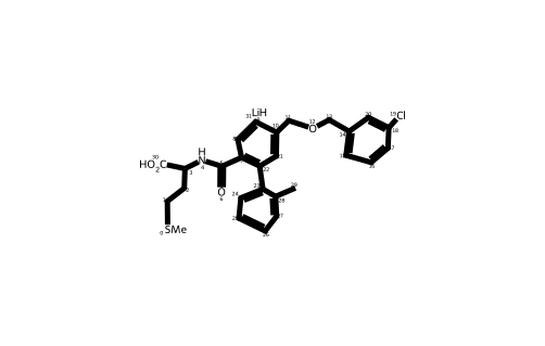 CSCCC(NC(=O)c1ccc(COCc2cccc(Cl)c2)cc1-c1ccccc1C)C(=O)O.[LiH]